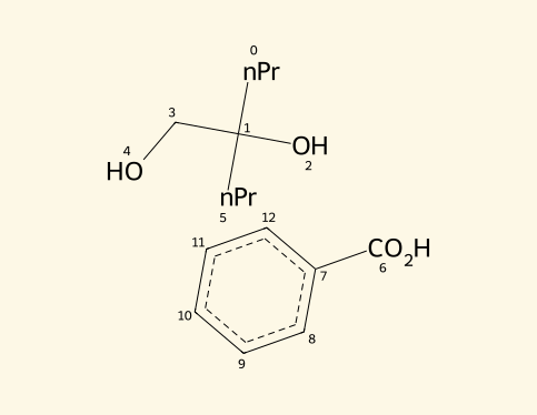 CCCC(O)(CO)CCC.O=C(O)c1ccccc1